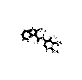 C=C/N=C\C(NC(=O)c1c(N)sc2cccnc12)=C(\C)C=C